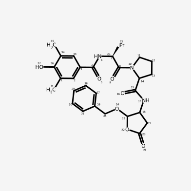 Cc1cc(C(=O)N[C@H](C(=O)N2CCCC2C(=O)NC2CC(=O)OC2OCc2ccccc2)C(C)C)cc(C)c1O